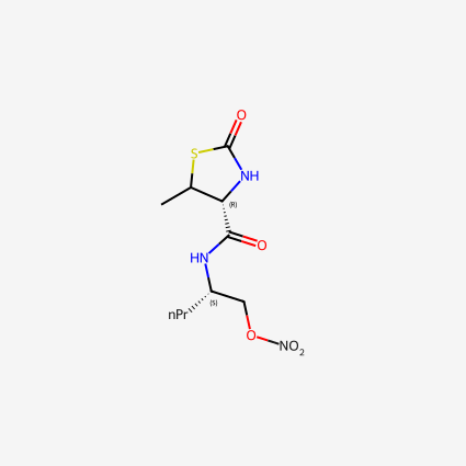 CCC[C@@H](CO[N+](=O)[O-])NC(=O)[C@H]1NC(=O)SC1C